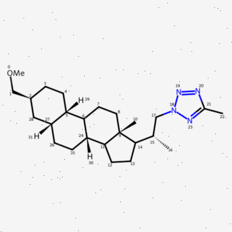 COC[C@H]1CC[C@@H]2C3CC[C@@]4(C)C(CCC4[C@@H](C)Cn4nnc(C)n4)[C@@H]3CC[C@@H]2C1